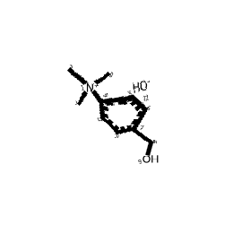 C[N+](C)(C)c1ccc(CO)cc1.[OH-]